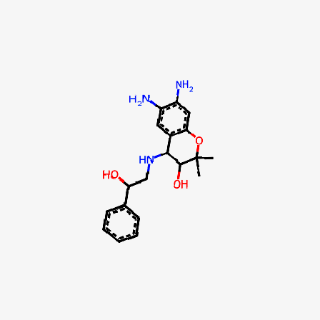 CC1(C)Oc2cc(N)c(N)cc2C(NCC(O)c2ccccc2)C1O